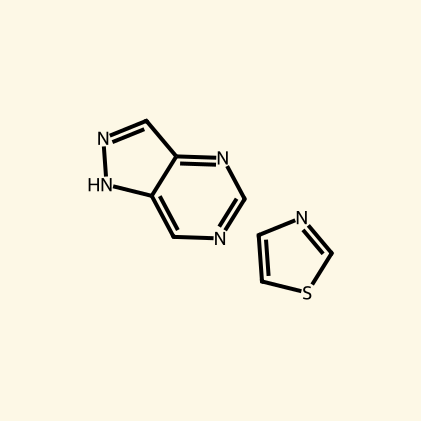 c1cscn1.c1ncc2[nH]ncc2n1